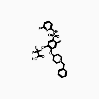 O=C(O)C(F)(F)F.O=S(=O)(Nc1cccc(F)n1)c1cc(Cl)c(OC2CCN(Cc3ccccc3)CC2)cc1F